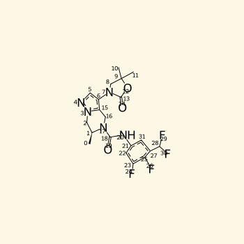 C[C@H]1Cn2ncc(N3CC(C)(C)OC3=O)c2CN1C(=O)Nc1cc(F)c(F)c(C(F)F)c1